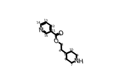 O=C(OCCC1CCNCC1)c1cccnc1